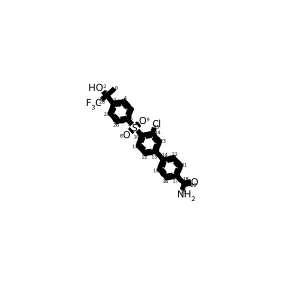 CC(O)(c1ccc(S(=O)(=O)c2ccc(-c3ccc(C(N)=O)cc3)cc2Cl)cc1)C(F)(F)F